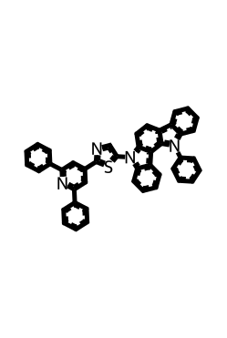 c1ccc(-c2cc(-c3ncc(-n4c5ccccc5c5c4ccc4c6ccccc6n(-c6ccccc6)c45)s3)cc(-c3ccccc3)n2)cc1